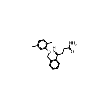 Cc1ccc(C)c(OCc2ccccc2C(=N)CCC(N)=O)c1